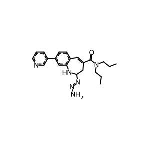 CCCN(CCC)C(=O)C1=Cc2ccc(-c3cccnc3)cc2NC(N=NN)C1